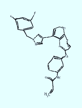 C=CC(=O)Nc1cccc(Oc2cnc3[nH]cc(-c4cnn(Cc5cc(F)cc(F)c5)c4)c3n2)c1